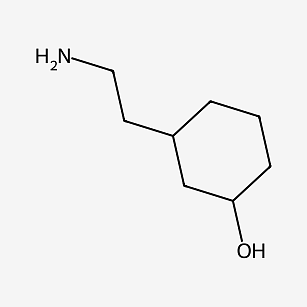 NCCC1CCCC(O)C1